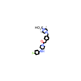 C[C@@H]1CN(Cc2ccc(CC(=O)N3CCC(Nc4ccc(F)cc4)CC3)cc2)C[C@H](C)N1C(=O)O